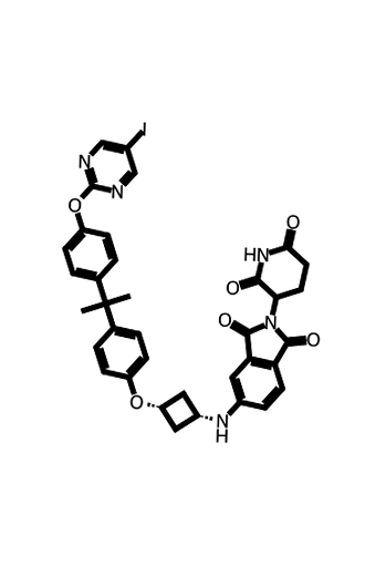 CC(C)(c1ccc(Oc2ncc(I)cn2)cc1)c1ccc(O[C@H]2C[C@@H](Nc3ccc4c(c3)C(=O)N(C3CCC(=O)NC3=O)C4=O)C2)cc1